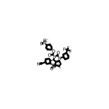 C[S+]([O-])c1cc(C#N)ccc1[C@@H]1C2=C(CCC2=O)N(c2cccc(C(F)(F)F)c2)C(=O)N1C(=O)Oc1ccc([N+](=O)[O-])cc1